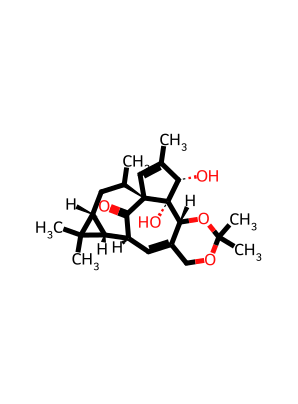 CC1=C[C@@]23C(=O)[C@@H](C=C4COC(C)(C)O[C@H]4[C@]2(O)[C@H]1O)[C@H]1[C@@H](CC3C)C1(C)C